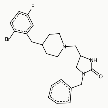 O=C1NC(CN2CCC(Cc3cc(F)ccc3Br)CC2)CN1Cc1ccccc1